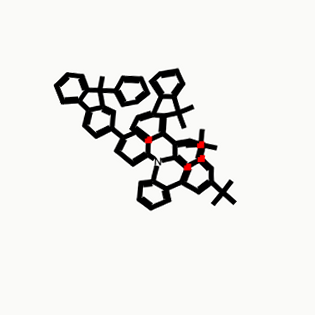 CC(C)(C)c1cc(-c2ccccc2N(c2ccc(-c3ccc4c(c3)C(C)(c3ccccc3)c3ccccc3-4)cc2)c2ccccc2-c2cccc3c2C(C)(C)c2ccccc2-3)cc(C(C)(C)C)c1